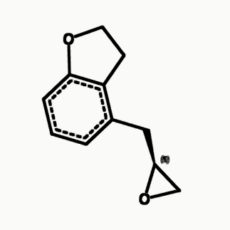 c1cc(C[C@H]2CO2)c2c(c1)OCC2